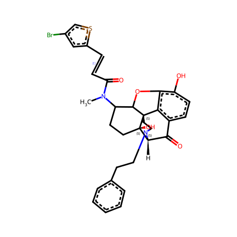 CN(C(=O)/C=C/c1cc(Br)cs1)C1CC[C@@]2(O)[C@H]3C(=O)c4ccc(O)c5c4[C@@]2(CCN3CCc2ccccc2)C1O5